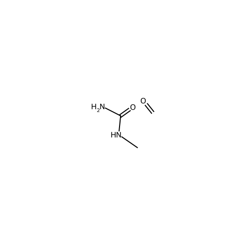 C=O.CNC(N)=O